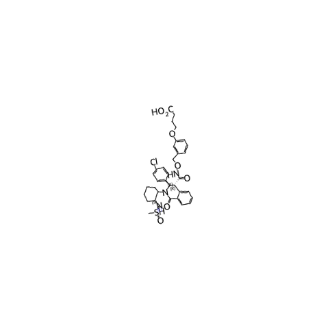 C/[SH](=O)=N\[C@H]1CCCCC1N1C(=O)c2ccccc2[C@@H](C(=O)NOCc2cccc(OCCCC(=O)O)c2)[C@@H]1c1ccc(Cl)cc1